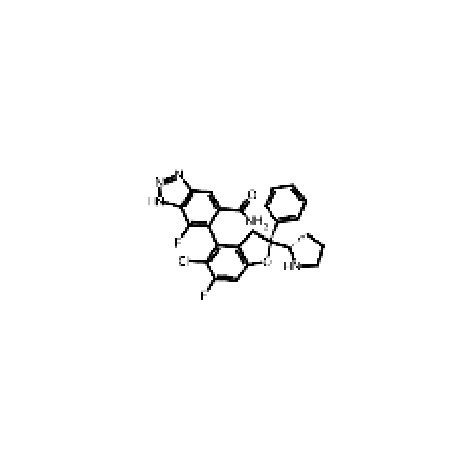 NC(=O)c1cc2nn[nH]c2c(F)c1-c1c(Cl)c(F)cc2c1C[C@](c1ccccc1)([C@@H]1CCCN1)O2